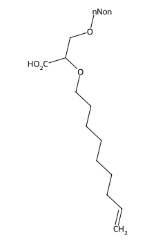 C=CCCCCCCCOC(COCCCCCCCCC)C(=O)O